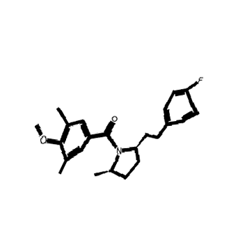 COc1c(C)cc(C(=O)N2[C@@H](CCc3ccc(F)cc3)CC[C@H]2C)cc1C